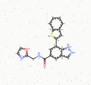 O=C(NCc1ncco1)c1cc(-c2cc3ccccc3s2)c2[nH]ncc2c1